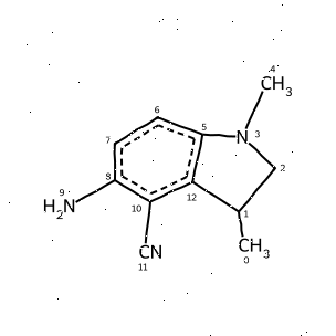 CC1CN(C)c2ccc(N)c(C#N)c21